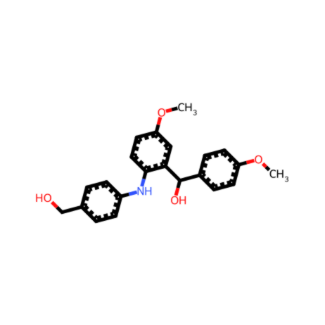 COc1ccc(C(O)c2cc(OC)ccc2Nc2ccc(CO)cc2)cc1